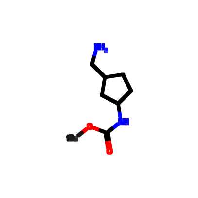 CC(C)(C)OC(=O)NC1CCC(CN)C1